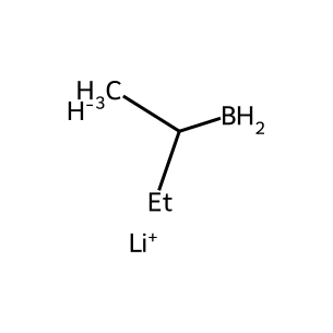 BC(C)CC.[H-].[Li+]